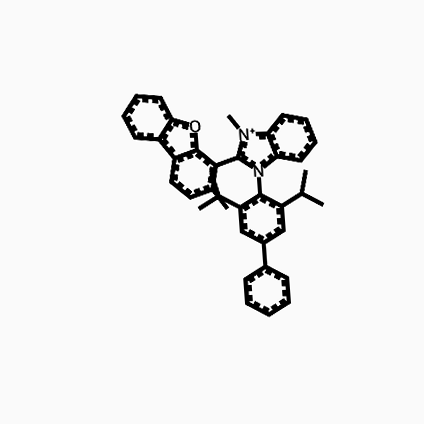 Cc1ccc2c(oc3ccccc32)c1-c1n(-c2c(C(C)C)cc(-c3ccccc3)cc2C(C)C)c2ccccc2[n+]1C